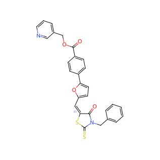 O=C(OCc1cccnc1)c1ccc(-c2ccc(/C=C3/SC(=S)N(Cc4ccccc4)C3=O)o2)cc1